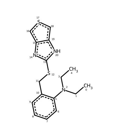 CCN(CC)c1ccccc1CSc1nc2cscc2[nH]1